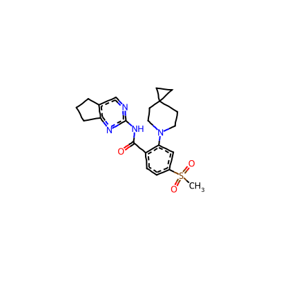 CS(=O)(=O)c1ccc(C(=O)Nc2ncc3c(n2)CCC3)c(N2CCC3(CC2)CC3)c1